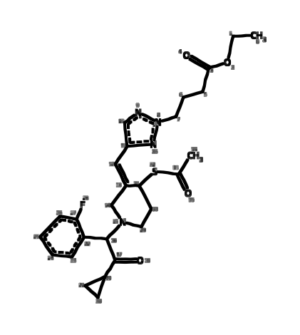 CCOC(=O)CCCn1ncc(C=C2CN(C(C(=O)C3CC3)c3ccccc3F)CCC2SC(C)=O)n1